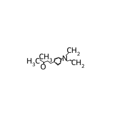 C=CCN(CC=C)c1ccc(CCC(=O)C(C)C)cc1